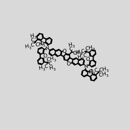 CC(C)c1c2oc3cc4cc(N(c5cccc6c5oc5c(C(C)(C)C)cccc56)c5cccc6c5oc5c(C(C)(C)C)cccc56)ccc4cc3c2cc2oc3cc4cc(N(c5cccc6c5oc5c(C(C)(C)C)cccc56)c5cccc6c5oc5c(C(C)(C)C)cccc56)ccc4cc3c12